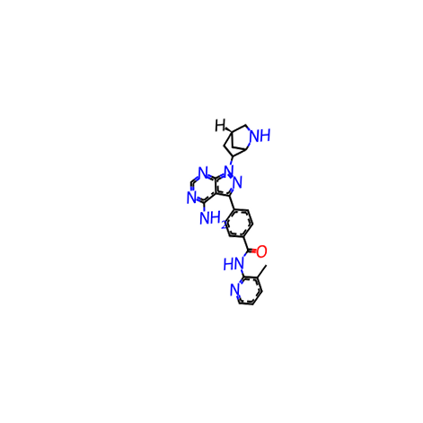 Cc1cccnc1NC(=O)c1ccc(-c2nn(C3C[C@@H]4CNC3C4)c3ncnc(N)c23)cc1